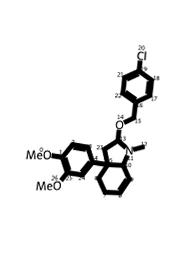 COc1ccc(C23CCC=CC2N(C)C(OCc2ccc(Cl)cc2)C3)cc1OC